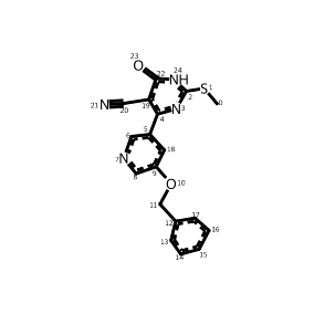 CSc1nc(-c2cncc(OCc3ccccc3)c2)c(C#N)c(=O)[nH]1